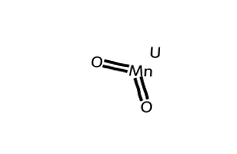 [O]=[Mn]=[O].[U]